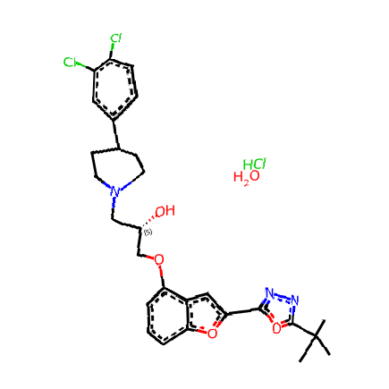 CC(C)(C)c1nnc(-c2cc3c(OC[C@@H](O)CN4CCC(c5ccc(Cl)c(Cl)c5)CC4)cccc3o2)o1.Cl.O